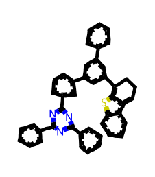 C1=c2c(sc3ccccc23)=C(c2cc(-c3ccccc3)cc(-c3cccc(-c4nc(-c5ccccc5)nc(-c5ccccc5)n4)c3)c2)CC1